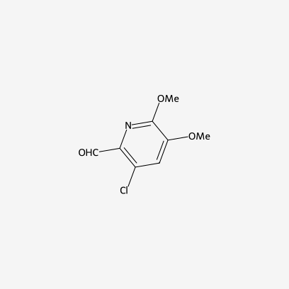 COc1cc(Cl)c(C=O)nc1OC